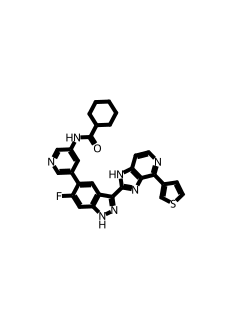 O=C(Nc1cncc(-c2cc3c(-c4nc5c(-c6ccsc6)nccc5[nH]4)n[nH]c3cc2F)c1)C1CCCCC1